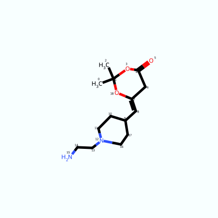 CC1(C)OC(=O)C/C(=C/C2CCN(CCN)CC2)O1